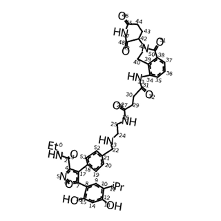 CCNC(=O)c1noc(-c2cc(C(C)C)c(O)cc2O)c1-c1ccc(CNCCNC(=O)CCC(=O)Nc2cccc3c2CN(C2CCC(=O)NC2=O)C3=O)cc1